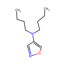 CCCCN(CCCC)c1[c]noc1